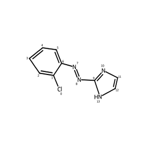 Clc1ccccc1N=Nc1ncc[nH]1